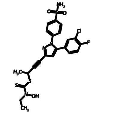 CCN(O)C(=S)SC(C)C#Cc1cc(-c2ccc(F)c(Cl)c2)n(-c2ccc(S(N)(=O)=O)cc2)n1